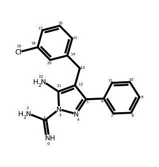 N=C(N)n1nc(-c2ccccc2)c(Cc2cccc(Cl)c2)c1N